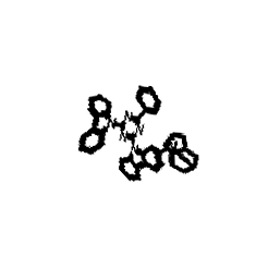 c1ccc(-c2nc(-n3c4ccccc4c4ccccc43)nc(-n3c4ccccc4c4ccc(N5C6CCC7CC5CC7C6)cc43)n2)cc1